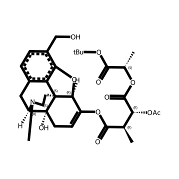 CC(=O)O[C@@H](C(=O)O[C@@H](C)C(=O)OC(C)(C)C)[C@@H](C)C(=O)OC1=CC[C@@]2(O)[C@H]3Cc4ccc(CO)c5c4[C@@]2(CCN3C)[C@H]1O5